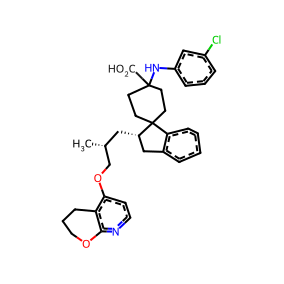 C[C@@H](COc1ccnc2c1CCCO2)C[C@H]1Cc2ccccc2C12CCC(Nc1cccc(Cl)c1)(C(=O)O)CC2